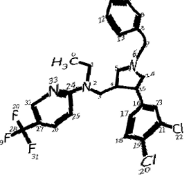 CCN(CC1CN(Cc2ccccc2)CC1c1ccc(Cl)c(Cl)c1)c1ccc(C(F)(F)F)cn1